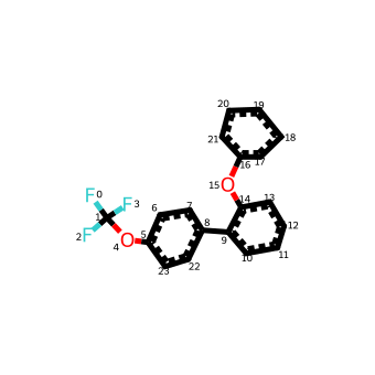 FC(F)(F)Oc1ccc(-c2cc[c]cc2Oc2ccccc2)cc1